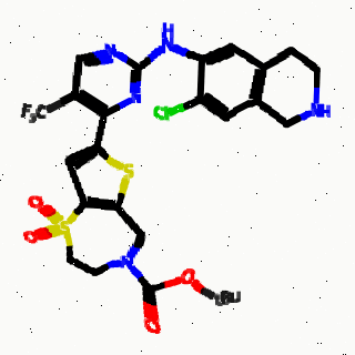 CC(C)(C)OC(=O)N1CCS(=O)(=O)c2cc(-c3nc(Nc4cc5c(cc4Cl)CNCC5)ncc3C(F)(F)F)sc2C1